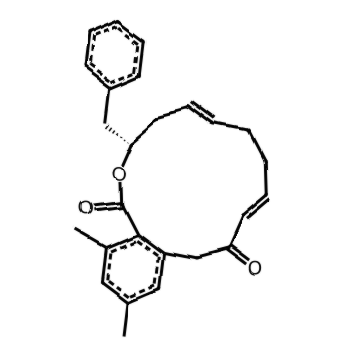 Cc1cc(C)c2c(c1)CC(=O)/C=C/CC/C=C/C[C@@H](Cc1ccccc1)OC2=O